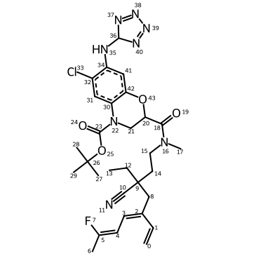 C=CC(=CC=C(C)F)CC(C#N)(CC)CCN(C)C(=O)C1CN(C(=O)OC(C)(C)C)c2cc(Cl)c(NC3N=NN=N3)cc2O1